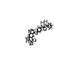 CONC(=O)c1cc2c(Oc3ccc(NC(=O)Nc4nccs4)cc3)ccnc2cc1OC